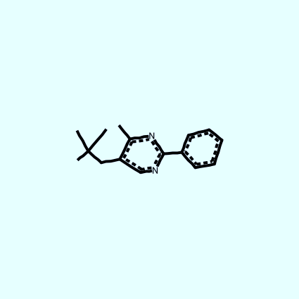 Cc1nc(-c2ccccc2)ncc1CC(C)(C)C